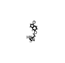 O=C1CCc2cc(OCCc3ncc[nH]3)ccc21